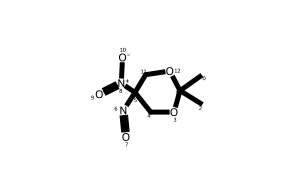 CC1(C)OCC(N=O)([N+](=O)[O-])CO1